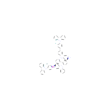 N#Cc1ccc(-n2c3ccccc3c3cc(-c4ccc(-n5c6ccccc6c6ccccc65)c(C(F)(F)F)c4)ccc32)c(-c2cc(C#N)ccc2-n2c3ccccc3c3cc(-c4ccc(-n5c6ccccc6c6ccccc65)c(C(F)(F)F)c4)ccc32)c1